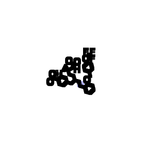 O=C(O)CC1(CCC(/C=C/c2ccccc2OCc2ccc(OC(F)(F)F)cc2)Cc2ccc(C(=O)O)cc2)CC1